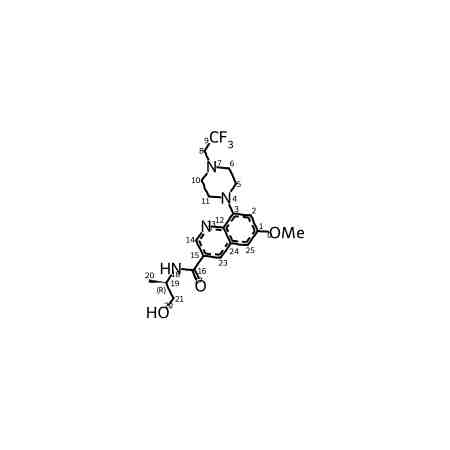 COc1cc(N2CCN(CC(F)(F)F)CC2)c2ncc(C(=O)N[C@H](C)CO)cc2c1